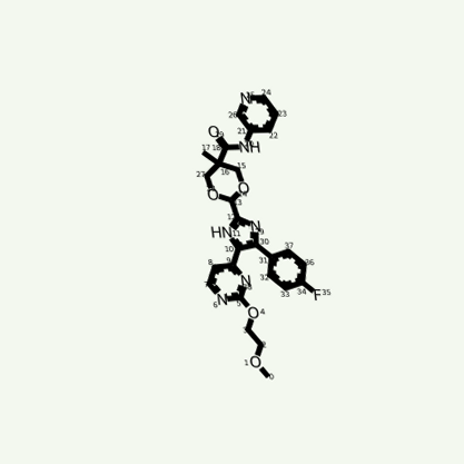 COCCOc1nccc(-c2[nH]c(C3OCC(C)(C(=O)Nc4cccnc4)CO3)nc2-c2ccc(F)cc2)n1